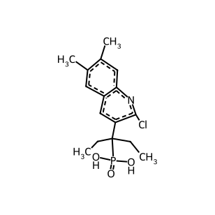 CCC(CC)(c1cc2cc(C)c(C)cc2nc1Cl)P(=O)(O)O